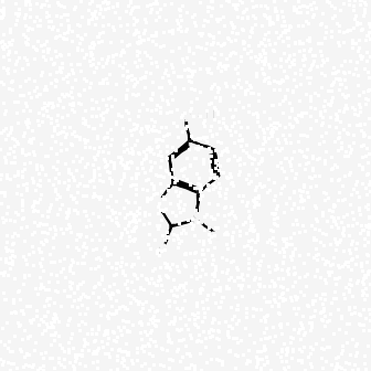 CCN1c2ccc(S(=O)(=O)O)cc2SC1P